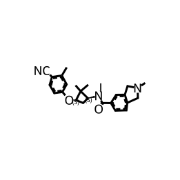 Cc1cc(O[C@H]2C[C@H](N(I)C(=O)c3ccc4c(c3)CN(C)C4)C2(C)C)ccc1C#N